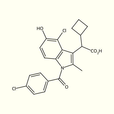 Cc1c(C(C(=O)O)C2CCC2)c2c(Cl)c(O)ccc2n1C(=O)c1ccc(Cl)cc1